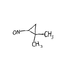 CC1(C)CC1N=O